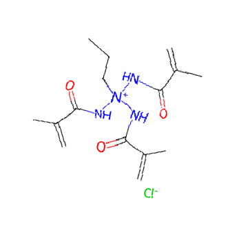 C=C(C)C(=O)N[N+](CCC)(NC(=O)C(=C)C)NC(=O)C(=C)C.[Cl-]